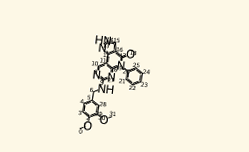 COc1ccc(CNc2ncc3c4n[nH]cc4c(=O)n(-c4ccccc4)c3n2)cc1OC